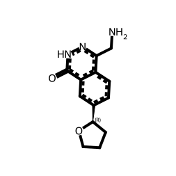 NCc1n[nH]c(=O)c2cc([C@H]3CCCO3)ccc12